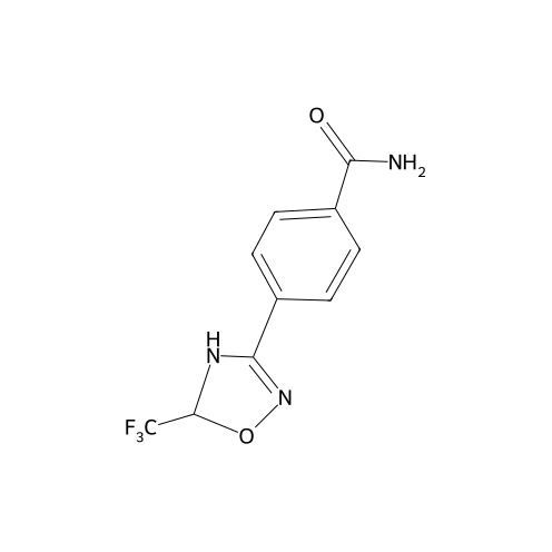 NC(=O)c1ccc(C2=NOC(C(F)(F)F)N2)cc1